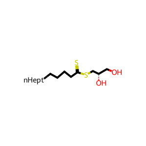 CCCCCCCCCCCC(=S)SC[C@@H](O)CO